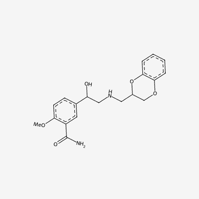 COc1ccc(C(O)CNCC2COc3ccccc3O2)cc1C(N)=O